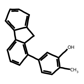 Cc1ccc(-c2cccc3c2Cc2ccccc2-3)cc1O